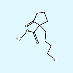 COC(=O)C1(CCCCBr)CCCC1=O